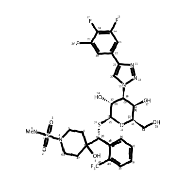 CNS(=O)(=O)N1CCC(O)([C@H](S[C@@H]2O[C@H](CO)[C@H](O)[C@H](n3cc(-c4cc(F)c(F)c(F)c4)nn3)[C@H]2O)c2ccccc2C(F)(F)F)CC1